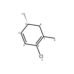 CC1=C(Cl)C=C[C@H](C)C1